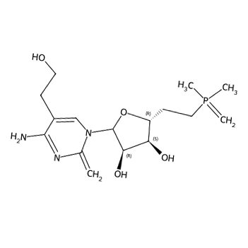 C=C1N=C(N)C(CCO)=CN1C1O[C@H](CCP(=C)(C)C)[C@@H](O)[C@H]1O